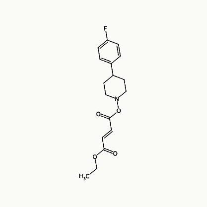 CCOC(=O)/C=C/C(=O)ON1CCC(c2ccc(F)cc2)CC1